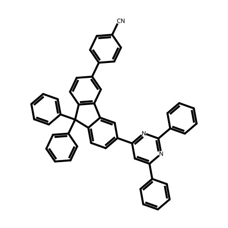 N#Cc1ccc(-c2ccc3c(c2)-c2cc(-c4cc(-c5ccccc5)nc(-c5ccccc5)n4)ccc2C3(c2ccccc2)c2ccccc2)cc1